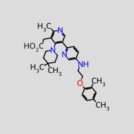 Cc1ccc(OCCNc2ccc(-c3cnc(C)c(CC(=O)O)c3N3CCC(C)(C)CC3)nc2)c(C)c1